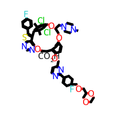 Cc1c(Cl)c2c(Cl)c(C)c1-c1c(-c3ccc(F)cc3)sc3ncnc(c13)OC(C(=O)O)Cc1cc(ccc1OCc1ccnc(C3=CCC(F)(COCC4COCCO4)CC3)n1)OCC(CN1CCN(C)CC1)O2